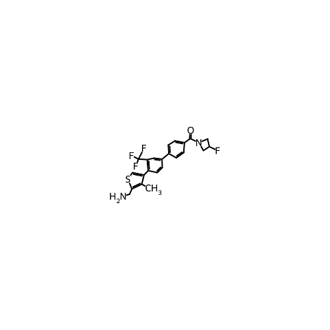 Cc1c(-c2ccc(-c3ccc(C(=O)N4CC(F)C4)cc3)cc2C(F)(F)F)csc1CN